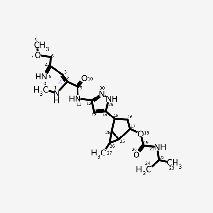 CN/C(=C\C(=N)COC)C(=O)Nc1cc(C2CC(OC(=O)NC(C)C)C3C(C)C23)[nH]n1